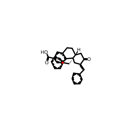 O=C1C[C@H]2CCc3cc(C(=O)O)ccc3[C@]2(Cc2ccccc2)C/C1=C\c1ccccc1